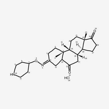 C[C@]12CCC(=NOC3CCNCC3)CC1C(=O)C[C@@H]1[C@H]2CC[C@]2(C)C(=O)CC[C@@H]12.Cl